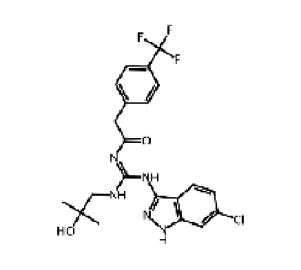 CC(C)(O)CN/C(=N/C(=O)Cc1ccc(C(F)(F)F)cc1)Nc1n[nH]c2cc(Cl)ccc12